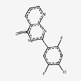 O=c1[nH]c(-c2cc(F)c(Cl)cc2F)nc2ncccc12